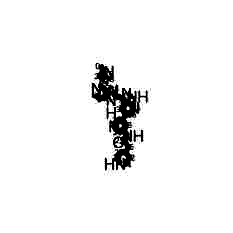 Cc1cn(-c2nccc3[nH]c(-c4n[nH]c5ncc(-c6cncc(NC(=O)CC7CCNCC7)c6)cc45)nc23)cn1